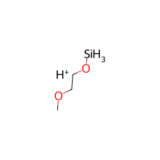 COCCO[SiH3].[H+]